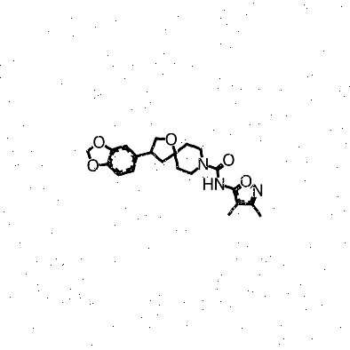 Cc1noc(NC(=O)N2CCC3(CC2)CC(c2ccc4c(c2)OCO4)CO3)c1C